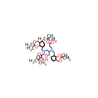 CC(C)(C)OC(=O)CCN(Cc1cccc2c1OC(C)(C)OC2)C(CO)CN(CC(=O)OC(C)(C)C)Cc1cccc2c1OC(C)(C)OC2